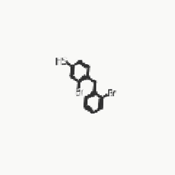 Sc1ccc(Cc2ccccc2Br)c(Br)c1